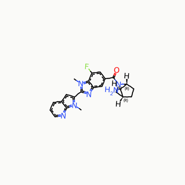 Cn1c(-c2nc3cc(C(=O)N4C[C@H]5CC[C@@H]4[C@@H]5N)cc(F)c3n2C)cc2cccnc21